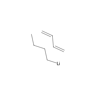 C=CC=C.[Li][CH2]CCC